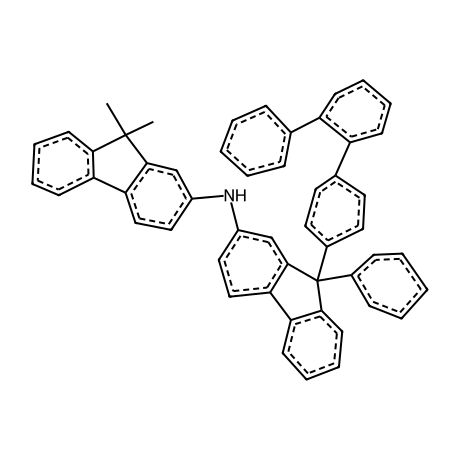 CC1(C)c2ccccc2-c2ccc(Nc3ccc4c(c3)C(c3ccccc3)(c3ccc(-c5ccccc5-c5ccccc5)cc3)c3ccccc3-4)cc21